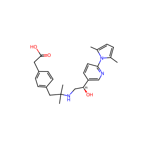 Cc1ccc(C)n1-c1ccc([C@@H](O)CNC(C)(C)Cc2ccc(CC(=O)O)cc2)cn1